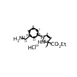 CCOC(=O)C1(C)C=CN(c2cccc(CN)c2)N1.Cl